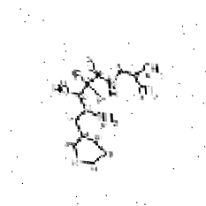 CC(C)CNC(=O)C(F)(F)C(O)C(N)CC1CCCCC1